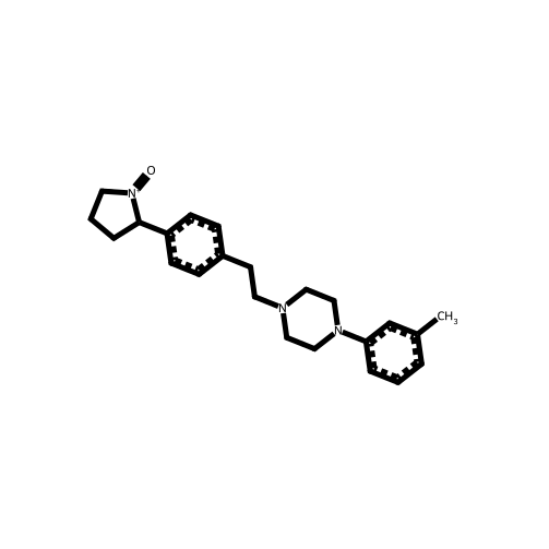 Cc1cccc(N2CCN(CCc3ccc(C4CCC[N+]4=O)cc3)CC2)c1